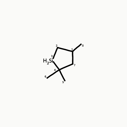 CC1C[SiH2]C(C)(C)C1